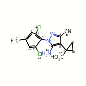 N#Cc1nn(-c2c(Cl)cc(C(F)(F)F)cc2Cl)c(N)c1C1(C(=O)O)CC1